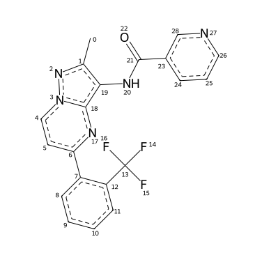 Cc1nn2ccc(-c3ccccc3C(F)(F)F)nc2c1NC(=O)c1cccnc1